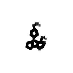 COc1ccc(-n2c3c(c4ncnc(N)c42)CCC3)cc1